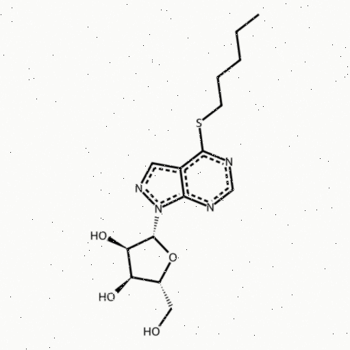 CCCCCSc1ncnc2c1cnn2[C@@H]1O[C@H](CO)[C@@H](O)[C@H]1O